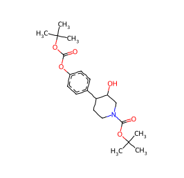 CC(C)(C)OC(=O)Oc1ccc(C2CCN(C(=O)OC(C)(C)C)CC2O)cc1